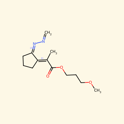 C=N/N=C1/CCC/C1=C(/C)C(=O)OCCCOC